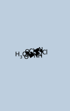 CS(=O)(=O)N1CC(Nc2nc(Cl)ncc2Cl)C1